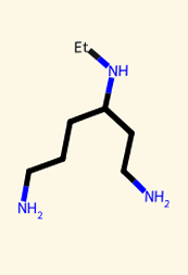 CCNC(CCN)CCCN